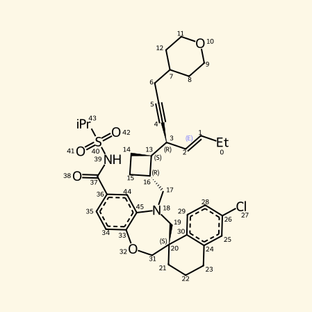 CC/C=C/[C@H](C#CCC1CCOCC1)[C@@H]1CC[C@H]1CN1C[C@@]2(CCCc3cc(Cl)ccc32)COc2ccc(C(=O)NS(=O)(=O)C(C)C)cc21